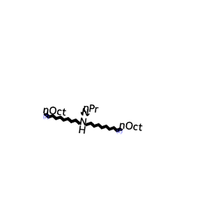 CCCCCCCC/C=C\CCCCCCCCNCCCCCCCC/C=C\CCCCCCCC.CCCN(C)C